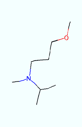 COCCCN(C)C(C)C